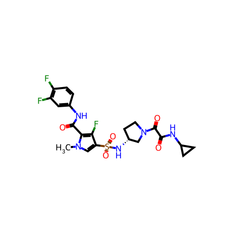 Cn1cc(S(=O)(=O)N[C@@H]2CCN(C(=O)C(=O)NC3CC3)C2)c(F)c1C(=O)Nc1ccc(F)c(F)c1